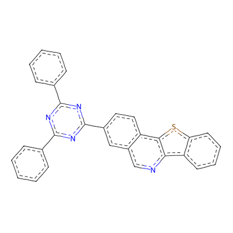 c1ccc(-c2nc(-c3ccccc3)nc(-c3ccc4c(cnc5c6ccccc6sc45)c3)n2)cc1